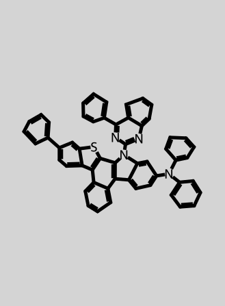 c1ccc(-c2ccc3c(c2)sc2c3c3ccccc3c3c4ccc(N(c5ccccc5)c5ccccc5)cc4n(-c4nc(-c5ccccc5)c5ccccc5n4)c23)cc1